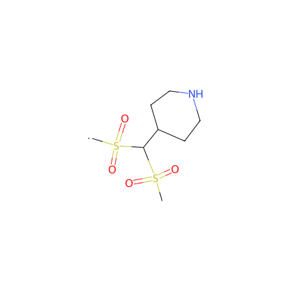 [CH2]S(=O)(=O)C(C1CCNCC1)S(C)(=O)=O